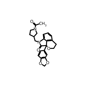 CC(=O)N1CCC(CN2C(=O)C3(c4ccc5c(c4)OCO5)OCCc4cccc2c43)C1